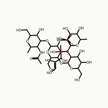 CC(=O)NC1C(C)OC(CO)C(O)C1OC1OC(CO)C(OC2OC(CO)C(O)C(O)C2OC(C)(O)C(O)/C(O)=C/O)C(OC2OC(C)C(O)C(O)C2O)C1NC(C)=O